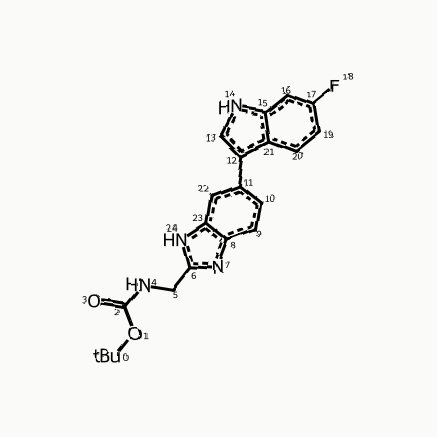 CC(C)(C)OC(=O)NCc1nc2ccc(-c3c[nH]c4cc(F)ccc34)cc2[nH]1